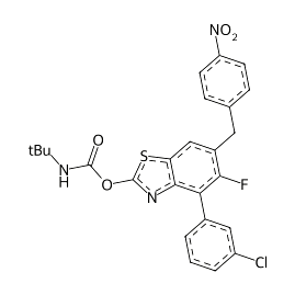 CC(C)(C)NC(=O)Oc1nc2c(-c3cccc(Cl)c3)c(F)c(Cc3ccc([N+](=O)[O-])cc3)cc2s1